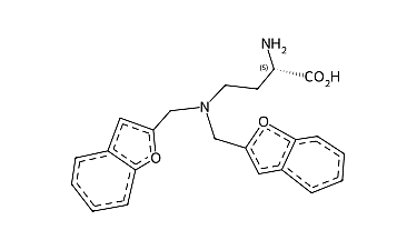 N[C@@H](CCN(Cc1cc2ccccc2o1)Cc1cc2ccccc2o1)C(=O)O